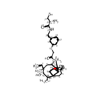 C=C[C@]1(C)C[C@@H](OC(=O)CSc2cccc(CNC(=O)[C@@H](N)CO)c2)[C@]2(C)C(C)CC34CC(CCC3=O)(C42)[C@@H](C)[C@@H]1O